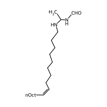 [CH2]C(NC=O)NCCCCCCCC/C=C\CCCCCCCC